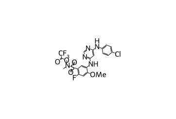 COc1cc(F)c(S(=O)(=O)N(C)OC(=O)C(F)(F)F)cc1Nc1cc(Nc2ccc(Cl)cc2)ncn1